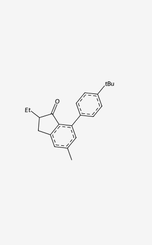 CCC1Cc2cc(C)cc(-c3ccc(C(C)(C)C)cc3)c2C1=O